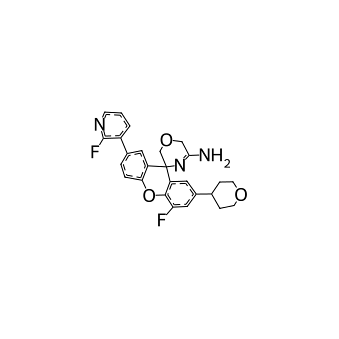 NC1=NC2(COC1)c1cc(-c3cccnc3F)ccc1Oc1c(F)cc(C3CCOCC3)cc12